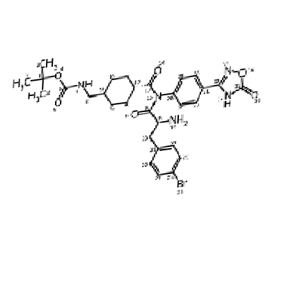 CC(C)(C)OC(=O)NC[C@H]1CC[C@H](C(=O)N(C(=O)[C@@H](N)Cc2ccc(Br)cc2)c2ccc(-c3noc(=O)[nH]3)cc2)CC1